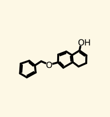 OC1=CCCc2cc(OCc3ccccc3)ccc21